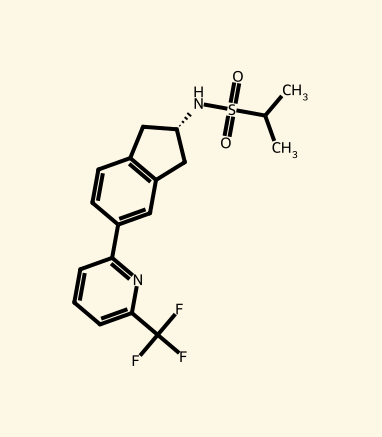 CC(C)S(=O)(=O)N[C@H]1Cc2ccc(-c3cccc(C(F)(F)F)n3)cc2C1